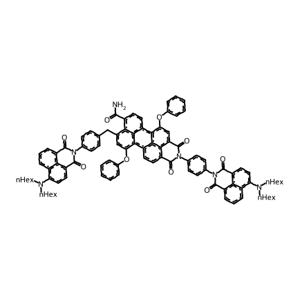 CCCCCCN(CCCCCC)c1ccc2c3c(cccc13)C(=O)N(c1ccc(Cc3cc(Oc4ccccc4)c4c5ccc6c7c(cc(Oc8ccccc8)c(c8ccc(C(N)=O)c3c84)c75)C(=O)N(c3ccc(N4C(=O)c5cccc7c(N(CCCCCC)CCCCCC)ccc(c57)C4=O)cc3)C6=O)cc1)C2=O